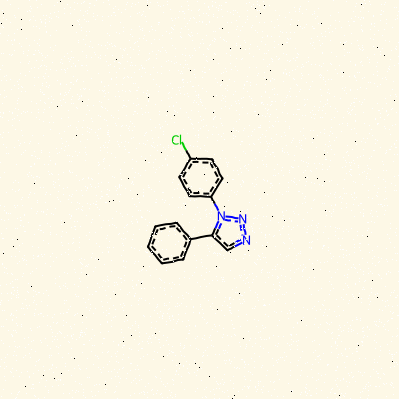 Clc1ccc(-n2nncc2-c2ccccc2)cc1